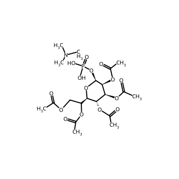 CC(=O)OCC(OC(C)=O)[C@H]1O[C@@H](OP(=O)(O)O)[C@@H](OC(C)=O)[C@@H](OC(C)=O)[C@@H]1OC(C)=O.CN(C)C